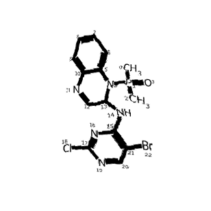 CP(C)(=O)N1c2ccccc2N=CC1Nc1nc(Cl)ncc1Br